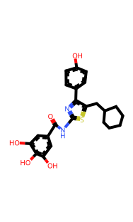 O=C(Nc1nc(-c2ccc(O)cc2)c(CC2CCCCC2)s1)c1cc(O)c(O)c(O)c1